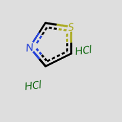 Cl.Cl.c1cscn1